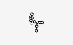 c1ccc(-c2ccc(N(c3ccc4ccccc4c3)c3ccc4c(c3)oc3ccc5nc(-c6ccccc6)oc5c34)cc2)cc1